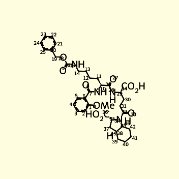 COc1ccccc1C(=O)N[C@@H](CCCCNC(=O)OCc1ccccc1)C(=O)N[C@H](CCC(=O)N1[C@H](C(=O)O)C[C@@H]2CCCC[C@@H]21)C(=O)O